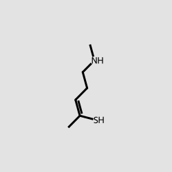 CNCCC=C(C)S